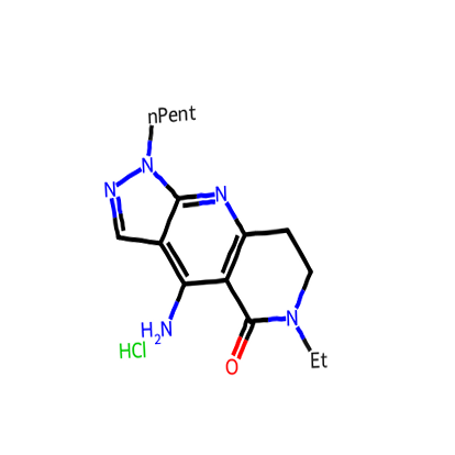 CCCCCn1ncc2c(N)c3c(nc21)CCN(CC)C3=O.Cl